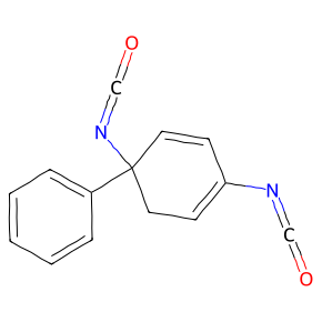 O=C=NC1=CCC(N=C=O)(c2ccccc2)C=C1